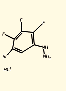 Cl.NNc1cc(Br)c(F)c(F)c1F